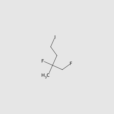 CC(F)(CF)CCI